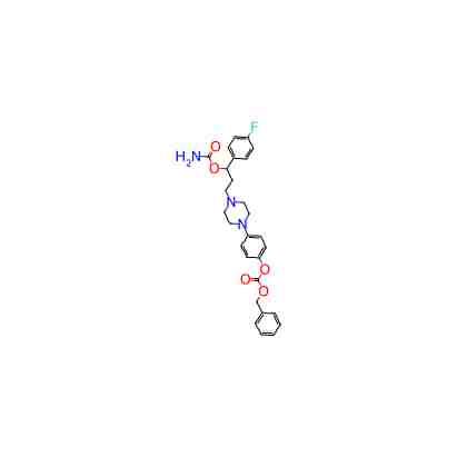 NC(=O)OC(CCN1CCN(c2ccc(OC(=O)OCc3ccccc3)cc2)CC1)c1ccc(F)cc1